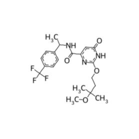 COC(C)(C)CCOc1nc(C(=O)NC(C)c2ccc(C(F)(F)F)cc2)cc(=O)[nH]1